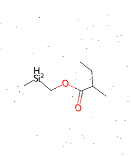 CCC(C)C(=O)OC[SiH2]C